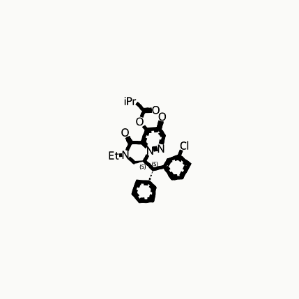 CCN1C[C@H]([C@@H](c2ccccc2)c2cccc(Cl)c2)n2ncc(=O)c(OC(=O)C(C)C)c2C1=O